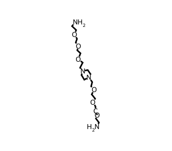 NCCOCCOCCOCCN1CCN(CCOCCOCCOCCN)CC1